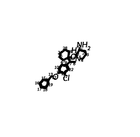 N[C@H]1CCCN(CC(c2ccc(OCc3ccccc3)c(Cl)c2)C2(O)CCCCC2)C1